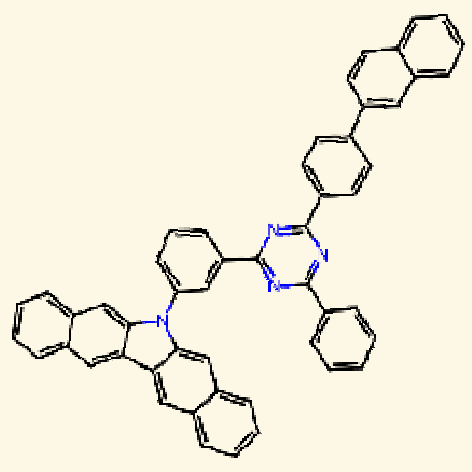 c1ccc(-c2nc(-c3ccc(-c4ccc5ccccc5c4)cc3)nc(-c3cccc(-n4c5cc6ccccc6cc5c5cc6ccccc6cc54)c3)n2)cc1